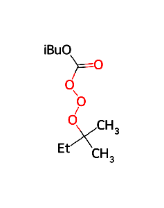 CCC(C)(C)OOOC(=O)OCC(C)C